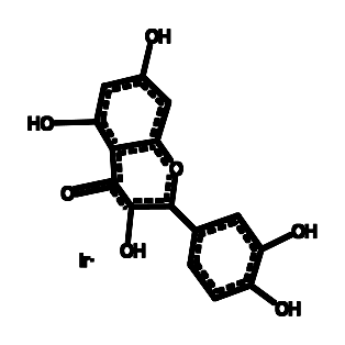 O=c1c(O)c(-c2ccc(O)c(O)c2)oc2cc(O)cc(O)c12.[Ir]